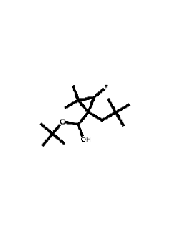 CC(C)(C)CC1(C(O)OC(C)(C)C)C(F)C1(C)C